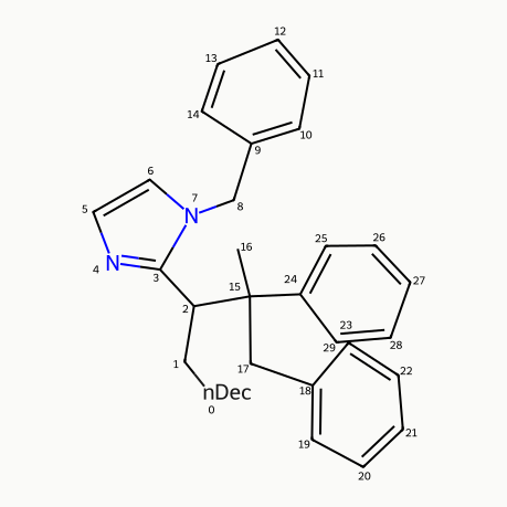 CCCCCCCCCCCC(c1nccn1Cc1ccccc1)C(C)(Cc1ccccc1)c1ccccc1